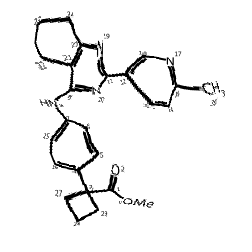 COC(=O)C1(c2ccc(Nc3nc(-c4ccc(C)nc4)nc4c3CCC4)cc2)CCC1